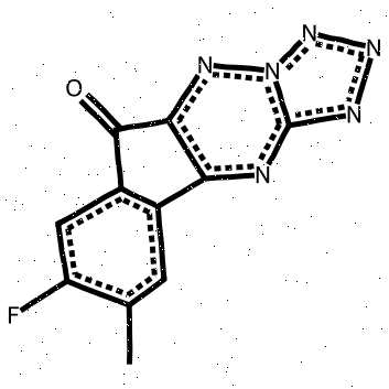 Cc1cc2c(cc1F)C(=O)c1nn3nnnc3nc1-2